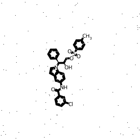 Cc1ccc(S(=O)(=O)OC[C@@H](O)[C@H](c2ccccc2)n2ccc3cc(NC(=O)c4cccc(Cl)c4)ccc32)cc1